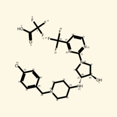 O=C(O)C(F)(F)F.O[C@@H]1CN(c2nccc(C(F)(F)F)n2)C[C@H]1NC1CCN(Cc2ccc(Cl)cc2)CC1